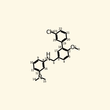 COc1ccc(CNc2cccc(N(C)C)c2)cc1-c1cccc(Cl)c1